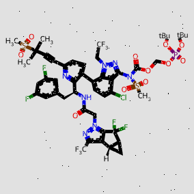 CC(C)(C)OP(=O)(OCOC(=O)N(c1nn(CC(F)(F)F)c2c(-c3ccc(C#CC(C)(C)S(C)(=O)=O)nc3[C@H](Cc3cc(F)cc(F)c3)NC(=O)Cn3nc(C(F)(F)F)c4c3C(F)(F)C3C[C@H]43)ccc(Cl)c12)S(C)(=O)=O)OC(C)(C)C